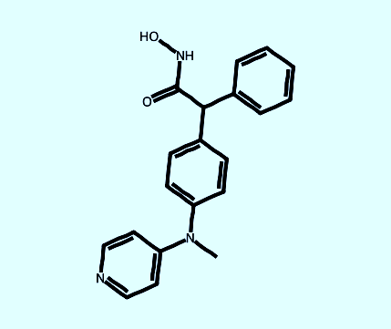 CN(c1ccncc1)c1ccc(C(C(=O)NO)c2ccccc2)cc1